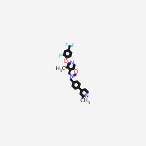 Cc1cc(-c2ccc(CN(C=O)Cc3ccnc(Oc4ccc(C(F)F)cc4F)c3C)cc2)ccn1